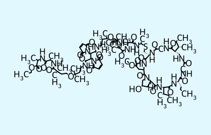 CCC[C@@H]1NC(=O)[C@H]([C@@H](C)CC)NC(=O)[C@@H]2C[C@@H](O)CN2C(=O)C(CC(=O)OC)NC(=O)[C@H](CSC(C)NC(=O)C(C)NC(=O)C(C)NC(C)(C)OC(C)(C)CCNC(=O)C(C(C(=O)NCCC(C)(C)OCCC(C)(C)C(=O)NC(C)C(=O)NC(C)C(=O)OCC)N2C(=O)C=CC2=O)N2C(=O)C=CC2=O)NC(=O)CNC(=O)[C@H]([C@@H](C)CC)CNC(=O)CNC1=O